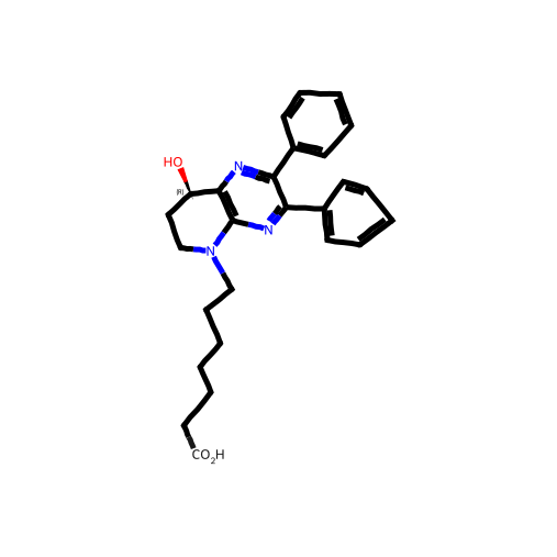 O=C(O)CCCCCCN1CC[C@@H](O)c2nc(-c3ccccc3)c(-c3ccccc3)nc21